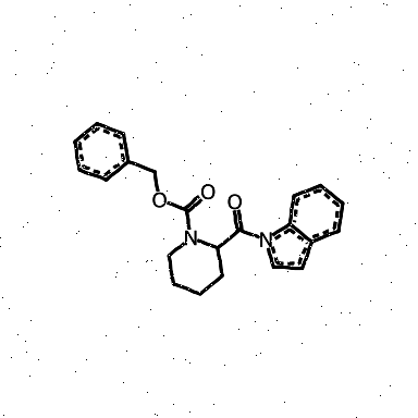 O=C(OCc1ccccc1)N1CCCCC1C(=O)n1ccc2ccccc21